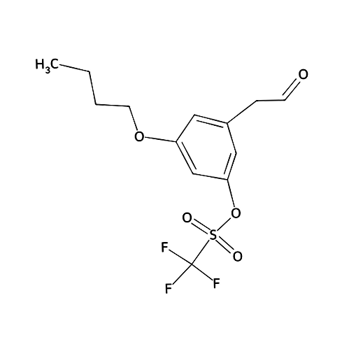 CCCCOc1cc(CC=O)cc(OS(=O)(=O)C(F)(F)F)c1